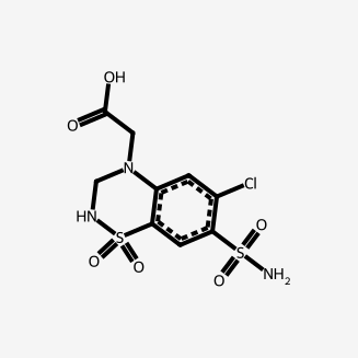 NS(=O)(=O)c1cc2c(cc1Cl)N(CC(=O)O)CNS2(=O)=O